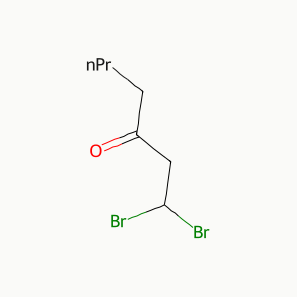 CCCCC(=O)CC(Br)Br